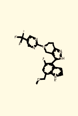 COCc1cc(F)c(-c2[nH]nc3c2CN(c2ncc(C(F)(F)F)cn2)CC3)c2cc[nH]c12